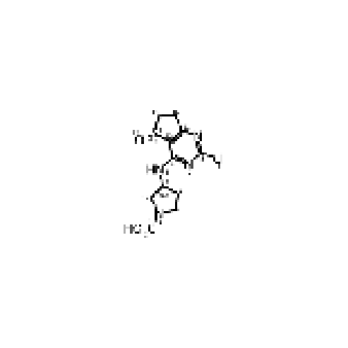 O=C(O)N1CC[C@H](Nc2nc(Cl)nc3c2[S@+]([O-])CC3)C1